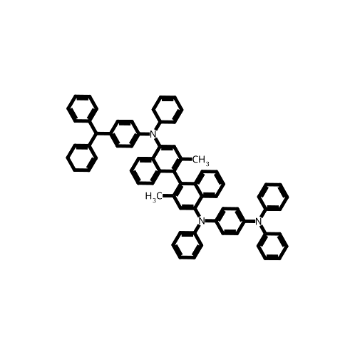 Cc1cc(N(c2ccccc2)c2ccc(N(c3ccccc3)c3ccccc3)cc2)c2ccccc2c1-c1c(C)cc(N(c2ccc(C(C3=CCCC=C3)c3ccccc3)cc2)C2C=CC=CC2)c2ccccc12